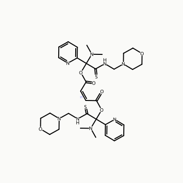 CN(C)C(OC(=O)/C=C\C(=O)OC(C(=S)NCN1CCOCC1)(c1ccccn1)N(C)C)(C(=S)NCN1CCOCC1)c1ccccn1